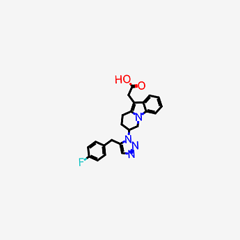 O=C(O)Cc1c2n(c3ccccc13)CC(n1nncc1Cc1ccc(F)cc1)CC2